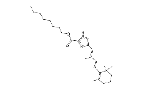 CCCCCCCCOC(=O)c1nc(/C=C(\C)C=CC2=C(C)CCCC2(C)C)c[nH]1